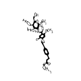 COC(=O)CCc1ccc(COc2cc(OC)c(C(=O)N[C@H]3[C@@H](OC)O[C@H](CO)[C@@H](O)[C@@H]3O)cc2Cl)cc1